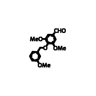 COc1cccc(COc2c(OC)cc(C=O)cc2OC)c1